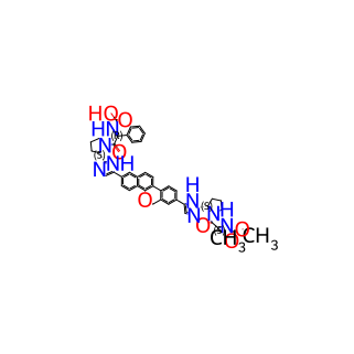 COC(=O)N[C@@H](C)C(=O)N1CCC[C@H]1c1ncc(-c2ccc3c(c2)COc2c-3ccc3cc(-c4cnc([C@@H]5CCCN5C(=O)[C@H](NC(=O)O)c5ccccc5)[nH]4)ccc23)[nH]1